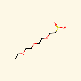 CCOCCOCCOCCS(=O)O